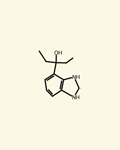 CCC(O)(CC)c1cccc2c1N[CH]N2